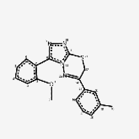 COc1ccccc1-c1nnc2n1N=C(c1cccc(C)c1)CS2